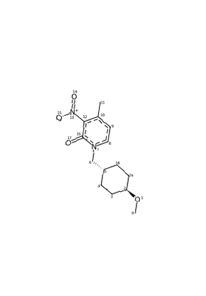 CO[C@H]1CC[C@H](Cn2ccc(C)c([N+](=O)[O-])c2=O)CC1